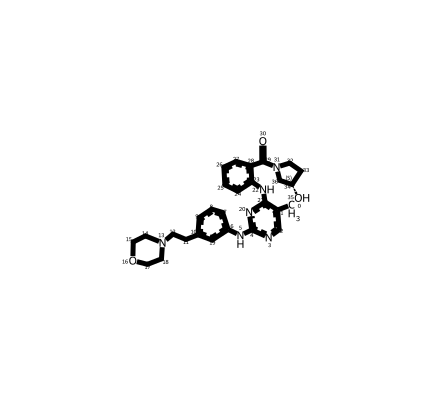 Cc1cnc(Nc2cccc(CCN3CCOCC3)c2)nc1Nc1ccccc1C(=O)N1CC[C@H](O)C1